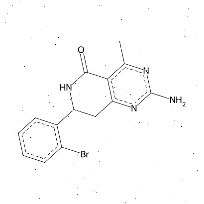 Cc1nc(N)nc2c1C(=O)NC(c1ccccc1Br)C2